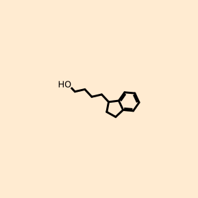 OCCCCC1CCc2ccccc21